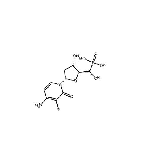 Nc1ccn([C@@H]2C[C@H](O)[C@@H](C(O)P(=O)(O)O)O2)c(=O)c1F